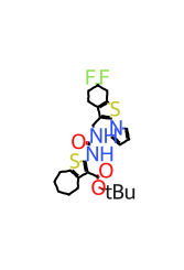 CC(C)(C)OC(=O)c1c(NC(=O)NCc2c(-n3cccc3)sc3c2CCC(F)(F)C3)sc2c1CCCCC2